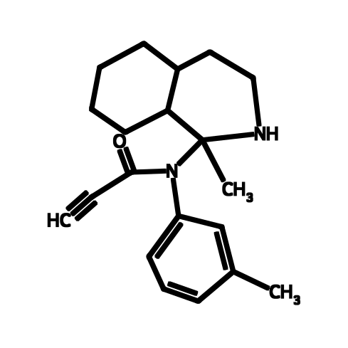 C#CC(=O)N(c1cccc(C)c1)C1(C)NCCC2CCCCC21